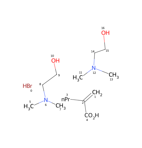 Br.C=C(CCC)C(=O)O.CN(C)CCO.CN(C)CCO